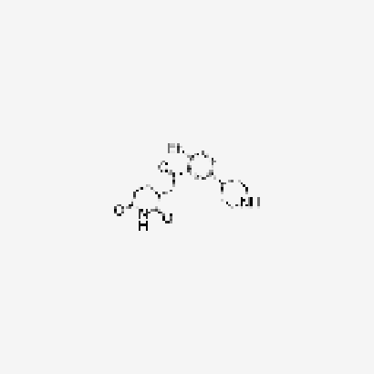 CCc1ccc(C2CCNCC2)cc1C(=O)CC1CCC(=O)NC1=O